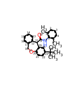 Cc1cccc(C)c1NC(=O)C1c2ccccc2COc2ccc(C(C)(C)C)cc21